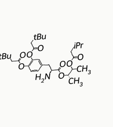 CC(C)CC(=O)OC(C)[C@H](C)OC(=O)[C@@H](N)Cc1ccc(OC(=O)CC(C)(C)C)c(OC(=O)CC(C)(C)C)c1